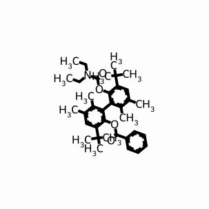 CCN(CC)C(=O)Oc1c(C(C)(C)C)cc(C)c(C)c1-c1c(C)c(C)cc(C(C)(C)C)c1OC(=O)c1ccccc1